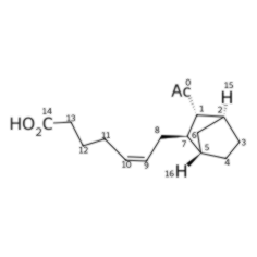 CC(=O)[C@@H]1[C@H]2CC[C@@H](C2)[C@H]1C/C=C\CCCC(=O)O